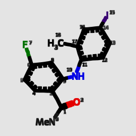 CNC(=O)c1ccc(F)cc1Nc1ccc(I)cc1C